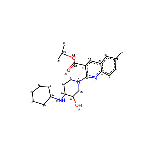 Cc1ccc2nc(N3CCC(NC4CCCCC4)C(O)C3)c(C(=O)OC(C)C)cc2c1